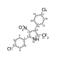 O=[N+]([O-])c1c(-c2ccc(Cl)cc2)[nH]c(C(F)(F)F)c1-c1ccc(Cl)cc1